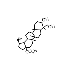 CC(C)C1CCC2(C(=O)O)CCC3(C)C(CCC4C5(C)CCC(O)C(C)(CO)C5CCC43C)C12